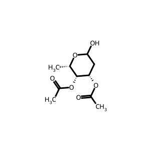 CC(=O)O[C@@H]1[C@H](C)OC(O)C[C@@H]1OC(C)=O